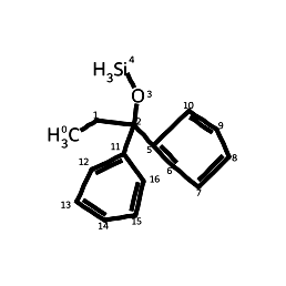 CCC(O[SiH3])(c1ccccc1)c1ccccc1